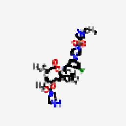 C/C(=C\c1cc(F)cc(N2CCN(S(=O)(=O)c3cnn(C)c3)CC2)c1)[C@H]1OC(=O)C[C@H](C)CC[C@H](C)[C@@H](OC(=O)N2CCNCC2)/C=C/[C@@H]1C